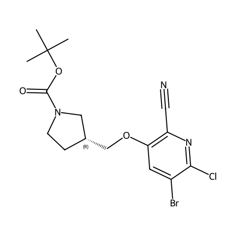 CC(C)(C)OC(=O)N1CC[C@@H](COc2cc(Br)c(Cl)nc2C#N)C1